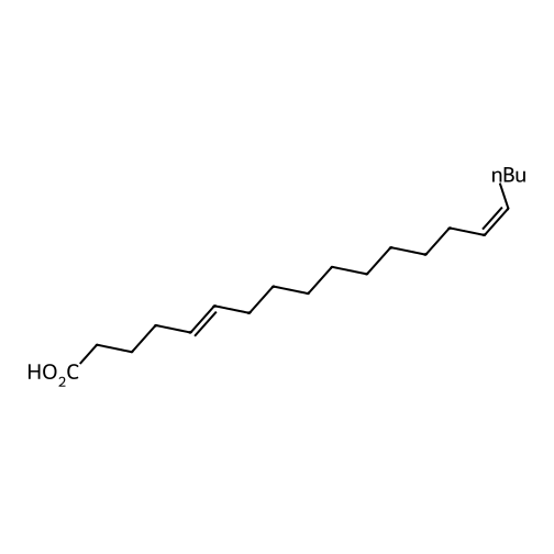 CCCC/C=C\CCCCCCCC/C=C/CCCC(=O)O